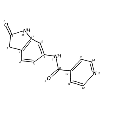 O=C1Cc2ccc(NC(=O)c3ccncc3)cc2N1